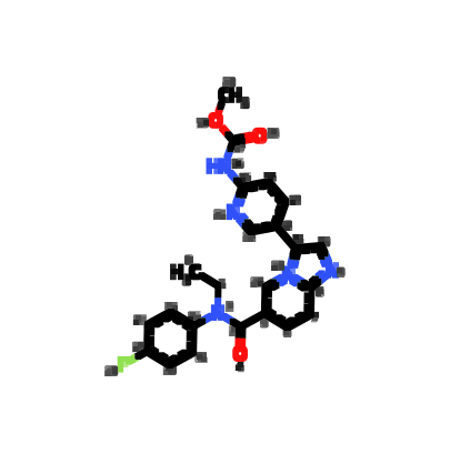 CCN(C(=O)c1ccc2ncc(-c3ccc(NC(=O)OC)nc3)n2c1)c1ccc(F)cc1